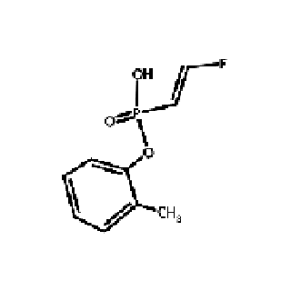 Cc1ccccc1OP(=O)(O)C=CF